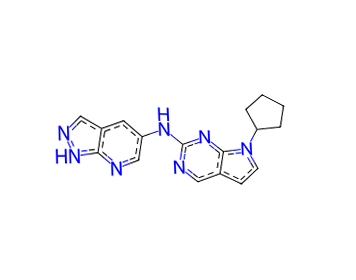 c1nc2[nH]ncc2cc1Nc1ncc2ccn(C3CCCC3)c2n1